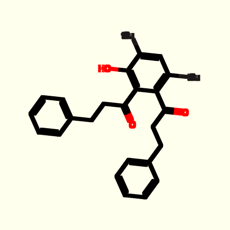 CC(C)(C)c1cc(C(C)(C)C)c(C(=O)CCc2ccccc2)c(C(=O)CCc2ccccc2)c1O